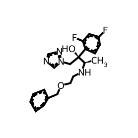 C[C@@H](NCCOCc1ccccc1)[C@](O)(Cn1cncn1)c1ccc(F)cc1F